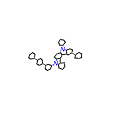 c1ccc(-c2ccc(-c3cccc(-n4c5ccccc5c5c6c7cc(-c8ccccc8)ccc7n(-c7ccccc7)c6ccc54)c3)cc2)cc1